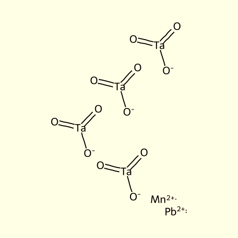 [Mn+2].[O]=[Ta](=[O])[O-].[O]=[Ta](=[O])[O-].[O]=[Ta](=[O])[O-].[O]=[Ta](=[O])[O-].[Pb+2]